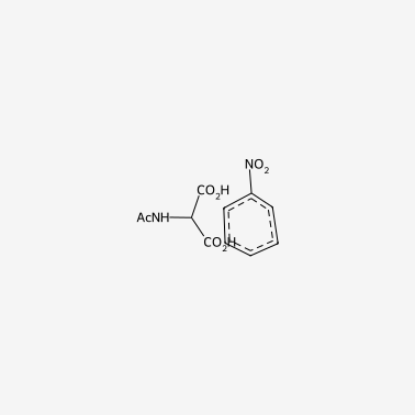 CC(=O)NC(C(=O)O)C(=O)O.O=[N+]([O-])c1ccccc1